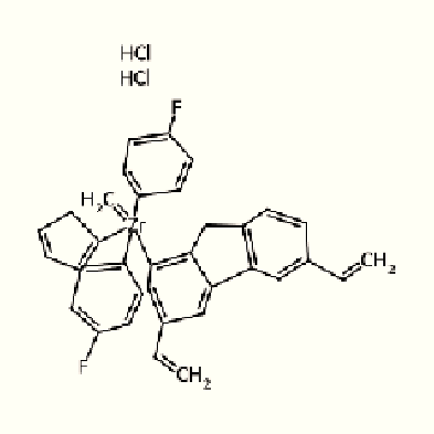 C=Cc1ccc2c(c1)-c1cc(C=C)c[c]([Zr](=[CH2])([C]3=CC=CC3)([c]3ccc(F)cc3)[c]3ccc(F)cc3)c1C2.Cl.Cl